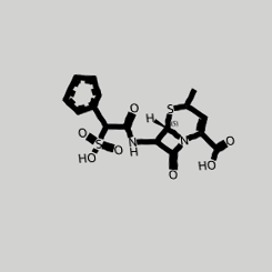 CC1C=C(C(=O)O)N2C(=O)C(NC(=O)C(c3ccccc3)S(=O)(=O)O)[C@@H]2S1